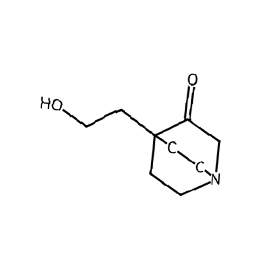 O=C1CN2CCC1(CCO)CC2